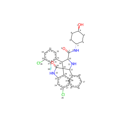 O=C(N[C@H]1CC[C@H](O)CC1)C1NC(c2ccccc2)C2(C(=O)Nc3cc(Cl)ccc32)C1c1cccc(Cl)c1F